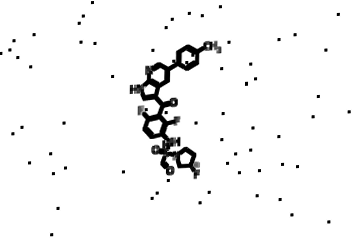 Cc1ccc(-c2cnc3[nH]cc(C(=O)c4c(F)ccc(N[SH](=O)(C=O)N5CC[C@@H](F)C5)c4F)c3c2)cc1